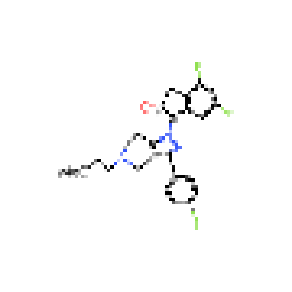 COCCN1CCc2c(c(-c3ccc(F)cc3)nn2[C@@H]2c3cc(F)cc(F)c3C[C@H]2O)C1